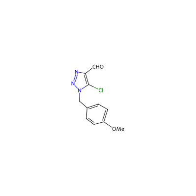 COc1ccc(Cn2nnc(C=O)c2Cl)cc1